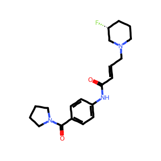 O=C(/C=C/CN1CCC[C@@H](F)C1)Nc1ccc(C(=O)N2CCCC2)cc1